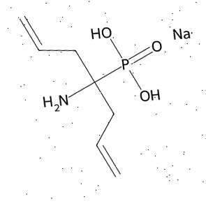 C=CCC(N)(CC=C)P(=O)(O)O.[Na]